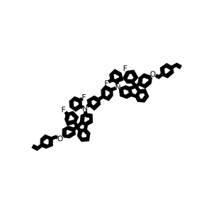 C=Cc1ccc(COc2ccc(C3(c4ccc(F)cc4)c4ccccc4-c4ccc(N(c5ccc(-c6ccc(N(c7ccc8c(c7)C(c7ccc(F)cc7)(c7ccc(OCc9ccc(C=C)cc9)cc7)c7ccccc7-8)c7ccccc7F)cc6)cc5)c5ccccc5F)cc43)cc2)cc1